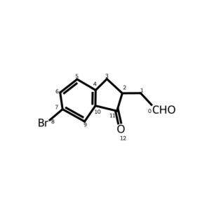 O=CCC1Cc2ccc(Br)cc2C1=O